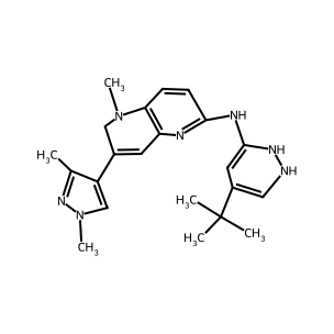 Cc1nn(C)cc1C1=Cc2nc(NC3=CC(C(C)(C)C)=CNN3)ccc2N(C)C1